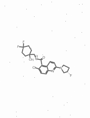 O=C(NCC1(O)CCC(F)(F)CC1)c1c(Cl)ccc2nc(N3CC[C@H](F)C3)ccc12